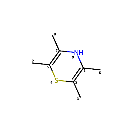 CC1=C(C)SC(C)=C(C)N1